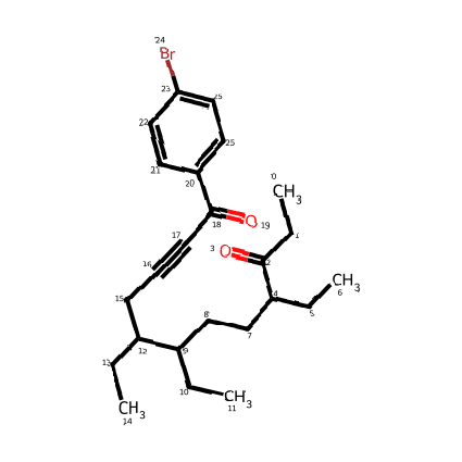 CCC(=O)C(CC)CCC(CC)C(CC)CC#CC(=O)c1ccc(Br)cc1